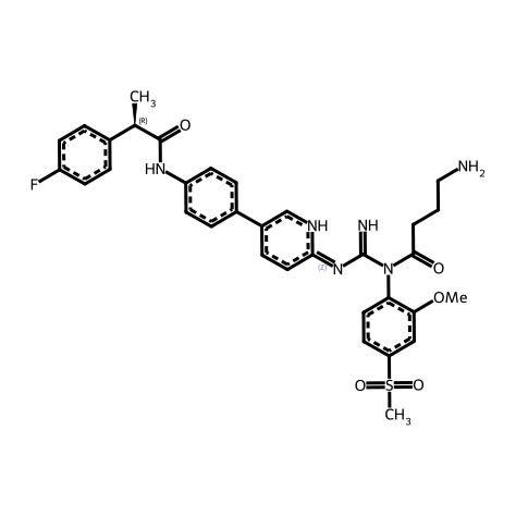 COc1cc(S(C)(=O)=O)ccc1N(C(=N)/N=c1/ccc(-c2ccc(NC(=O)[C@H](C)c3ccc(F)cc3)cc2)c[nH]1)C(=O)CCCN